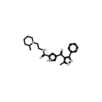 Cc1onc(-c2ccccc2)c1C(=O)c1c[nH]c(C(=O)NCCN2CCCCC2C)c1